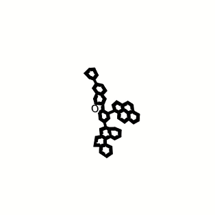 c1ccc(-c2ccc3cc4c(cc3c2)oc2cc(-c3cc5ccc6ccccc6c5c5ccccc35)cc(-c3ccc5ccc6cccc7ccc3c5c67)c24)cc1